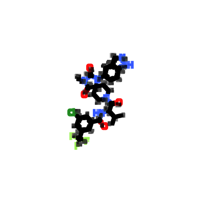 CC(C)[C@@H](NC(=O)c1cc(Cl)cc(C(F)(F)F)c1)C(=O)N1CCC2(CC1)C(=O)N(C)C(=O)N2c1ccc2[nH]ncc2c1